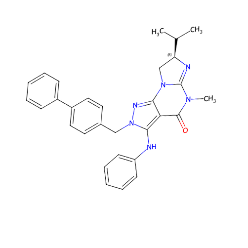 CC(C)[C@@H]1CN2C(=N1)N(C)C(=O)c1c2nn(Cc2ccc(-c3ccccc3)cc2)c1Nc1ccccc1